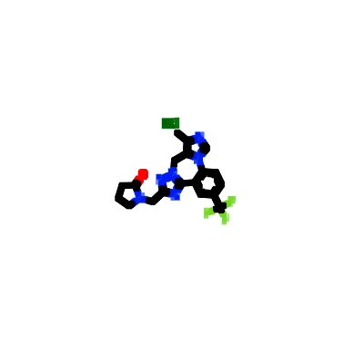 Cc1ncn2c1Cn1nc(CN3CCCC3=O)nc1-c1cc(C(F)(F)F)ccc1-2.Cl